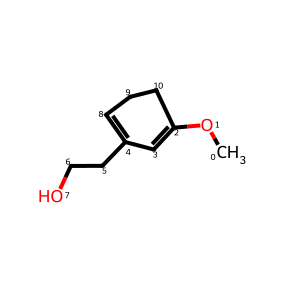 COC1=CC(CCO)=CCC1